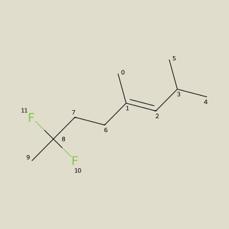 C/C(=C\C(C)C)CCC(C)(F)F